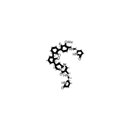 COc1c(CNC[C@@H]2CCC(=O)N2)ccc(-c2cccc(-c3cccc(-c4ccn5c(=O)c(CNC[C@@H]6CCC(=O)N6)cnc5c4)c3Cl)c2Cl)c1F